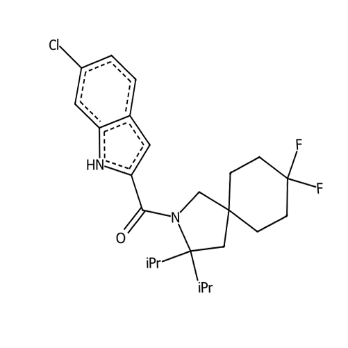 CC(C)C1(C(C)C)CC2(CCC(F)(F)CC2)CN1C(=O)c1cc2ccc(Cl)cc2[nH]1